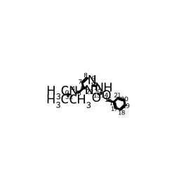 CC(C)(C)N=Cc1ccnc(NC(=O)OCc2ccccc2)n1